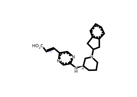 O=C(O)/C=C/c1cnc(N[C@@H]2CCCN(C3Cc4ccccc4C3)C2)cn1